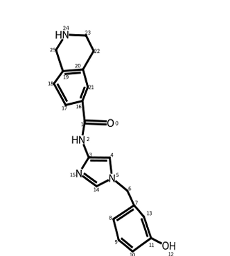 O=C(Nc1cn(Cc2cccc(O)c2)cn1)c1ccc2c(c1)CCNC2